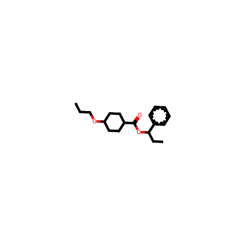 CCCOC1CCC(C(=O)OC(CC)c2ccccc2)CC1